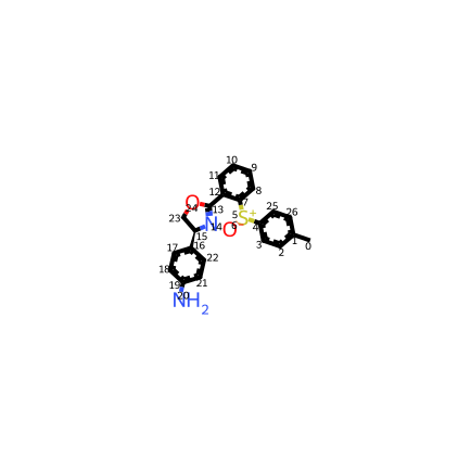 Cc1ccc([S+]([O-])c2ccccc2C2=N[C@@H](c3ccc(N)cc3)CO2)cc1